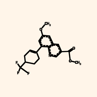 COC(=O)c1cnc2c(C3=CCC(C(F)(F)F)CC3)cc(OC)cc2c1